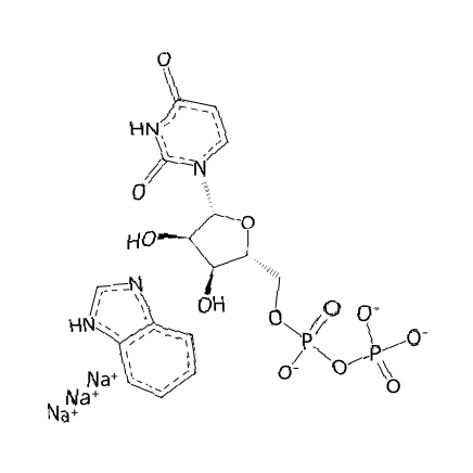 O=c1ccn([C@@H]2O[C@H](COP(=O)([O-])OP(=O)([O-])[O-])[C@@H](O)[C@H]2O)c(=O)[nH]1.[Na+].[Na+].[Na+].c1ccc2[nH]cnc2c1